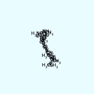 COC12C(COC(N)=O)C3=C(C(=O)C(C)=C(N)C3=O)N1CC1C2N1C(=O)OCc1ccc(SSC2CCC3(C)C(CCC4C3CCC3(C)C(C(C)CCCC(C)C)CCC43)C2)cc1